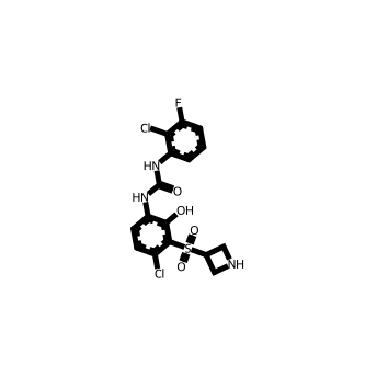 O=C(Nc1ccc(Cl)c(S(=O)(=O)C2CNC2)c1O)Nc1cccc(F)c1Cl